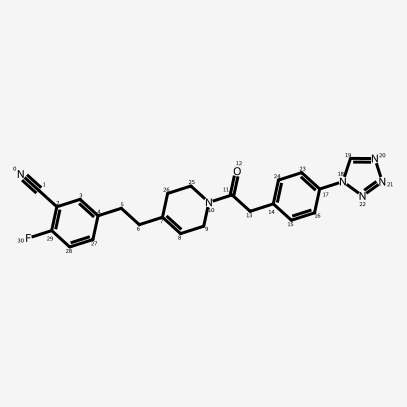 N#Cc1cc(CCC2=CCN(C(=O)Cc3ccc(-n4cnnn4)cc3)CC2)ccc1F